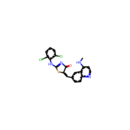 CNc1ccnc2ccc(C=C3SC(Nc4c(Cl)cccc4Cl)=NC3=O)cc12